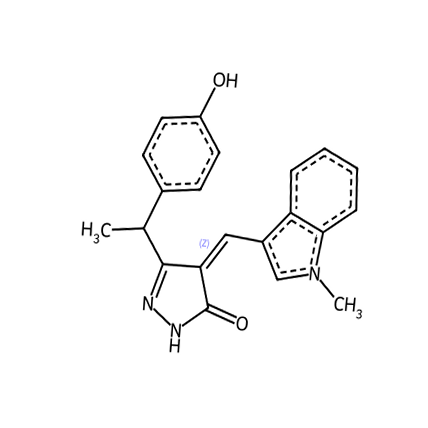 CC(C1=NNC(=O)/C1=C\c1cn(C)c2ccccc12)c1ccc(O)cc1